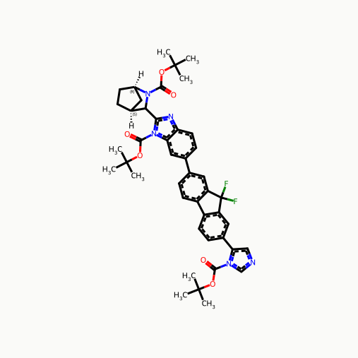 CC(C)(C)OC(=O)N1C(c2nc3ccc(-c4ccc5c(c4)C(F)(F)c4cc(-c6cncn6C(=O)OC(C)(C)C)ccc4-5)cc3n2C(=O)OC(C)(C)C)[C@H]2CC[C@@H]1C2